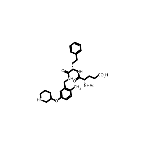 CC(=O)N[C@@H](CCC(=O)O)C(=O)N[C@@H](CCc1ccccc1)C(=O)NCc1cc(OC2CCCNC2)ccc1C